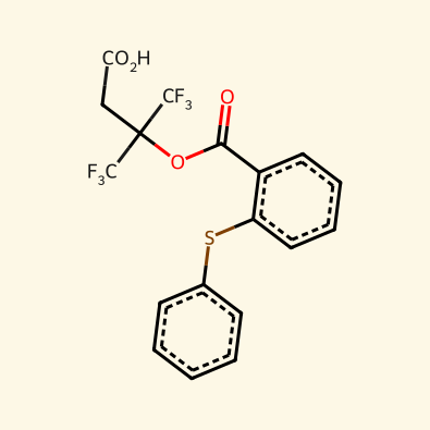 O=C(O)CC(OC(=O)c1ccccc1Sc1ccccc1)(C(F)(F)F)C(F)(F)F